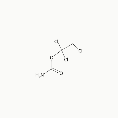 NC(=O)OC(Cl)(Cl)CCl